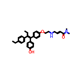 CCC(=C(c1ccc(O)cc1)c1ccc(OCCNCC=CC(=O)N(C)C)cc1)c1ccc(CC)cc1